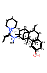 C/C=C(/N1CCCCC1)N(C)C1CCC23C[C@H](C)C1C2(CCCCC)c1cc(O)ccc1CC3C